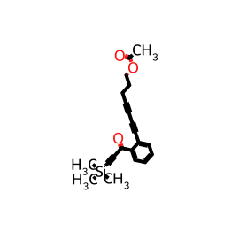 CC(=O)OCCCC#CC#Cc1ccccc1C(=O)C#C[Si](C)(C)C